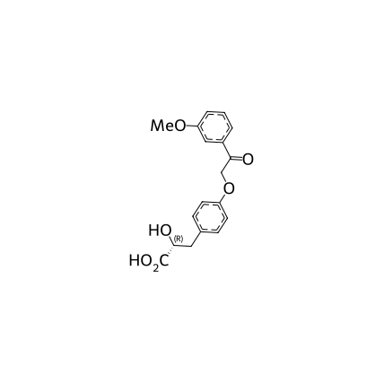 COc1cccc(C(=O)COc2ccc(C[C@@H](O)C(=O)O)cc2)c1